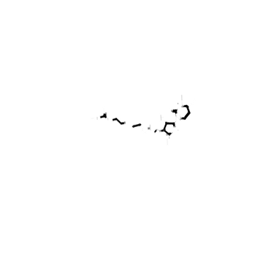 CCC(=O)SCCOCCOPOC1[C@@H](CC)O[C@@H](n2ccc(=O)[nH]c2=O)[C@H]1F